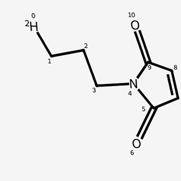 [2H]CCCN1C(=O)C=CC1=O